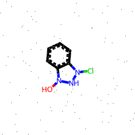 ON1NN(Cl)c2ccccc21